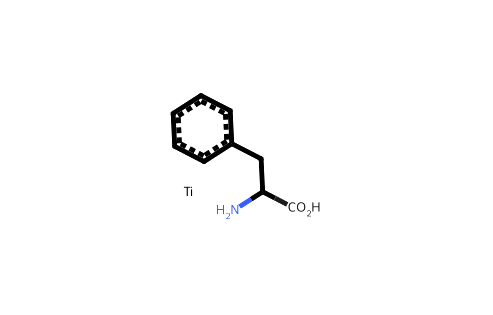 NC(Cc1ccccc1)C(=O)O.[Ti]